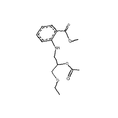 CCOCC(CNc1ccccc1C(=O)OC)OC(C)=O